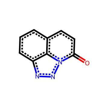 O=c1ccc2cccc3nnn1c23